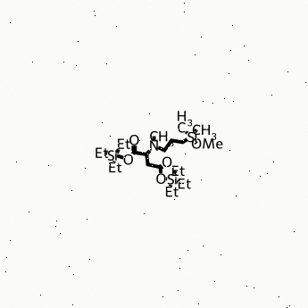 CC[Si](CC)(CC)OC(=O)CC(C(=O)O[Si](CC)(CC)CC)N(C)CCC[Si](C)(C)OC